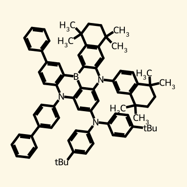 CC(C)(C)c1ccc(N(c2ccc(C(C)(C)C)cc2)c2cc3c4c(c2)N(c2ccc5c(c2)C(C)(C)CCC5(C)C)c2cc5c(cc2B4c2cc(-c4ccccc4)ccc2N3c2ccc(-c3ccccc3)cc2)C(C)(C)CCC5(C)C)cc1